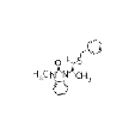 CC(=C(I)SCc1ccccc1)n1c(=O)n(C)c2ccccc21